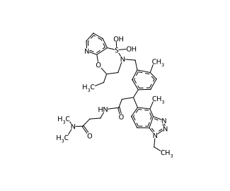 CCC1CN(Cc2cc(C(CC(=O)NCCC(=O)N(C)C)c3ccc4c(nnn4CC)c3C)ccc2C)S(O)(O)c2cccnc2O1